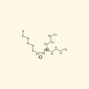 CCCCCCC1OC1N(CCCC)CCCC